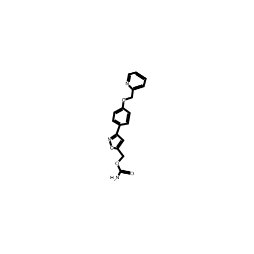 NC(=O)OCc1cc(-c2ccc(OCc3ccccn3)cc2)no1